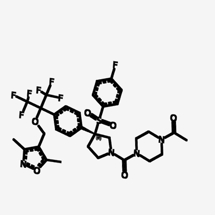 CC(=O)N1CCN(C(=O)N2CC[C@](c3ccc(C(OCc4c(C)noc4C)(C(F)(F)F)C(F)(F)F)cc3)(S(=O)(=O)c3ccc(F)cc3)C2)CC1